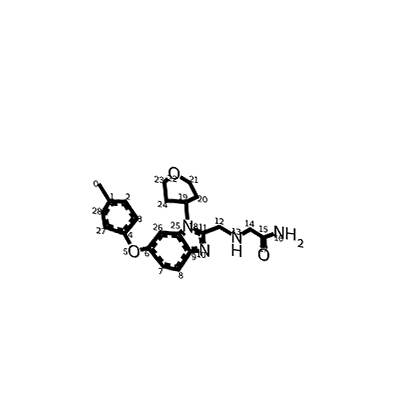 Cc1ccc(Oc2ccc3nc(CNCC(N)=O)n(C4CCOCC4)c3c2)cc1